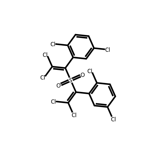 O=S(=O)(C(=C(Cl)Cl)c1cc(Cl)ccc1Cl)C(=C(Cl)Cl)c1cc(Cl)ccc1Cl